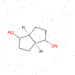 OC1CC[C@@H]2C(O)CC[C@H]12